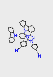 N#Cc1ccc(-c2nc(-c3cccc4c5ccccc5n(-c5cccc(-n6c7ccccc7c7ccccc76)c5)c34)nn2-c2ccc(C#N)cc2)cc1